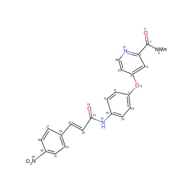 CNC(=O)c1cc(Oc2ccc(NC(=O)/C=C/c3ccc([N+](=O)[O-])cc3)cc2)ccn1